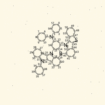 c1ccc(N(c2ccccc2)c2cc3c4c(c2)-n2c5c(cccc5c5c2c2ccccc2n5-c2ccccc2)B4c2cccc4c5sc6ccccc6c5n-3c24)cc1